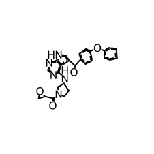 O=C(c1ccc(Oc2ccccc2)cc1)c1c[nH]c2ncnc(NC3CCN(C(=O)C4CO4)C3)c12